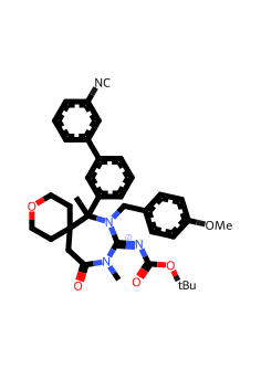 [C-]#[N+]c1cccc(-c2cccc(C3(C)N(Cc4ccc(OC)cc4)/C(=N/C(=O)OC(C)(C)C)N(C)C(=O)CC34CCOCC4)c2)c1